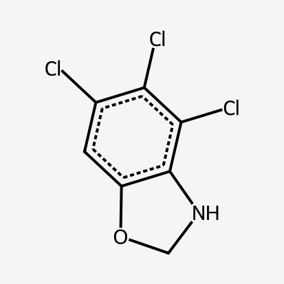 Clc1cc2c(c(Cl)c1Cl)NCO2